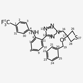 FC(F)(F)c1ccc(Nc2ccccc2-c2nnn(CC3(OCc4ccccc4)CSC3)n2)cc1